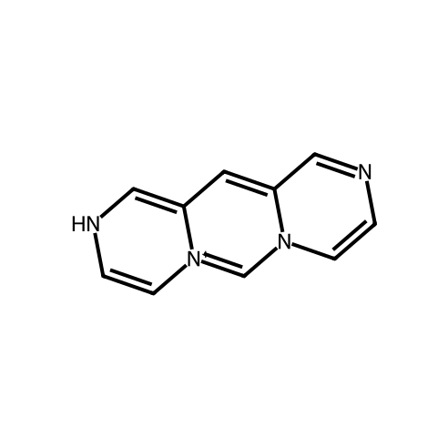 C1=CN2C=[N+]3C=CNC=C3C=C2C=N1